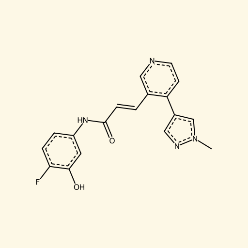 Cn1cc(-c2ccncc2/C=C/C(=O)Nc2ccc(F)c(O)c2)cn1